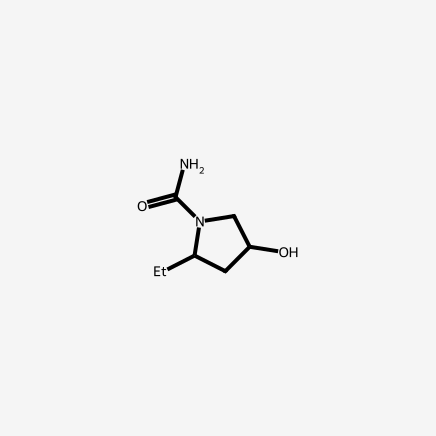 CCC1CC(O)CN1C(N)=O